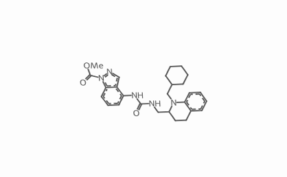 COC(=O)n1ncc2c(NC(=O)NCC3CCc4ccccc4N3CC3CCCCC3)cccc21